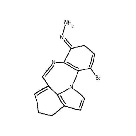 NN=C1CC=C(Br)C2=C1N=CC1=CCCc3ccn2c31